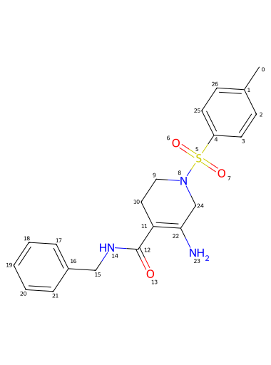 Cc1ccc(S(=O)(=O)N2CCC(C(=O)NCc3ccccc3)=C(N)C2)cc1